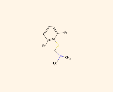 CC(C)c1cccc(C(C)C)c1SCN(C)C